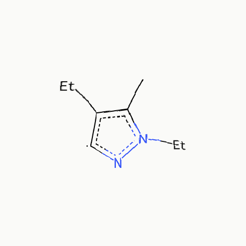 CCc1[c]nn(CC)c1C